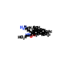 C=C(C)[C@@H]1CC[C@]2(C(=O)C(CCCCCCN)C(=O)NCCC(=O)O)CC[C@]3(C)[C@H](CCC4[C@@]5(C)CC[C@H](OC(C)=O)C(C)(C)[C@@H]5CC[C@]43C)[C@@H]12